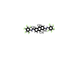 [C-]#[N+]/C(=C\c1c(F)c(F)c(F)c(F)c1F)c1ccc2c(C#N)c3cc(/C(C#N)=C/c4c(F)c(F)c(F)c(F)c4F)ccc3c(C#N)c2c1